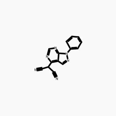 N#CC(C#N)c1ncnc2c1cnn2-c1ccccc1